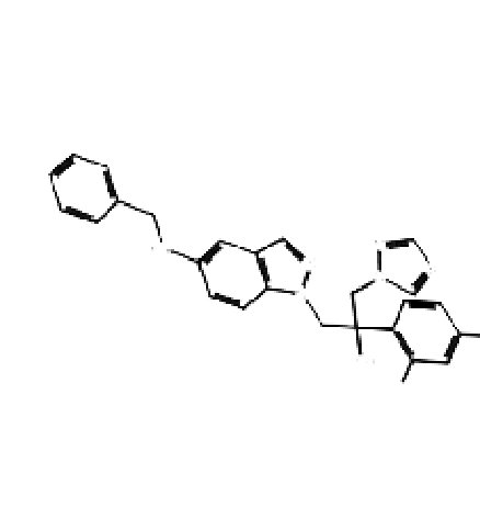 OC(Cn1cncn1)(Cn1ncc2cc(NCc3ccccc3)ccc21)c1ccc(F)cc1F